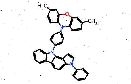 Cc1ccc2c(c1)Oc1cc(C)ccc1N2c1ccc(-n2c3ccccc3c3ccc4c(ccn4-c4ccccc4)c32)cc1